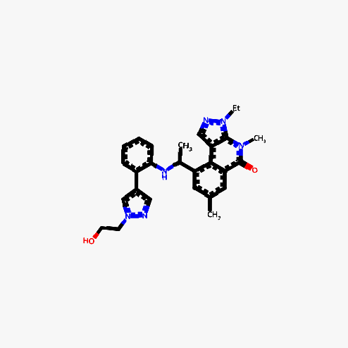 CCn1ncc2c3c(C(C)Nc4ccccc4-c4cnn(CCO)c4)cc(C)cc3c(=O)n(C)c21